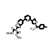 C[C@H](c1ccc(F)cc1)n1cc(-c2cccc(-c3ccn4nc(N(C(=O)OC(C)(C)C)C(=O)OC(C)(C)C)nc4c3)n2)cn1